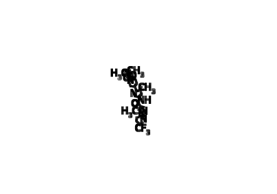 Cc1cc(NC(=O)c2cnn(-c3ccc(C(F)(F)F)cn3)c2C)cnc1C1=CCN(S(=O)(=O)N(C)C)CC1